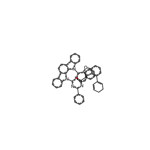 C1=CC(c2cccc3oc4c(-n5c6ccccc6c6ccc7c8ccccc8n(-c8nc(-c9ccccc9)nc(-c9ccccc9)n8)c7c65)cccc4c23)=CCC1